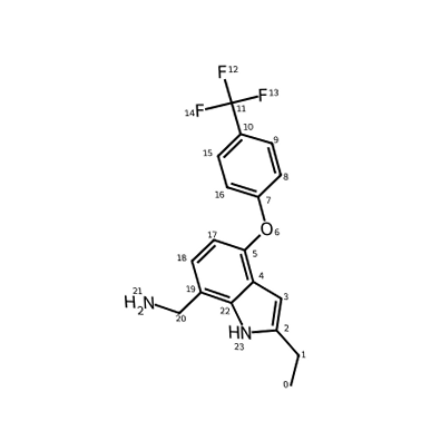 CCc1cc2c(Oc3ccc(C(F)(F)F)cc3)ccc(CN)c2[nH]1